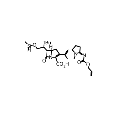 C=CCOC(=O)N=C1CC[C@@H](C=C(C)C2=C(C(=O)O)N3C(=O)[C@@H]([C@@H](CO[SiH](C)C)C(C)(C)C)[C@H]3C2)N1C